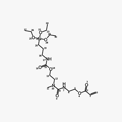 C=CC(=O)OCCNC(=O)N(C)CCOC(=O)NCCC[Si](OCC)(OCC)OCC